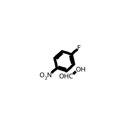 O=CO.O=[N+]([O-])c1ccc(F)cc1